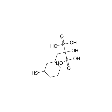 O=P(O)(O)C(O)(CC1CCCC(S)C1)P(=O)(O)O